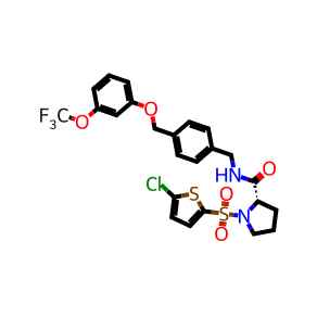 O=C(NCc1ccc(COc2cccc(OC(F)(F)F)c2)cc1)[C@@H]1CCCN1S(=O)(=O)c1ccc(Cl)s1